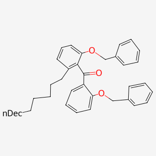 CCCCCCCCCCCCCCCc1cccc(OCc2ccccc2)c1C(=O)c1ccccc1OCc1ccccc1